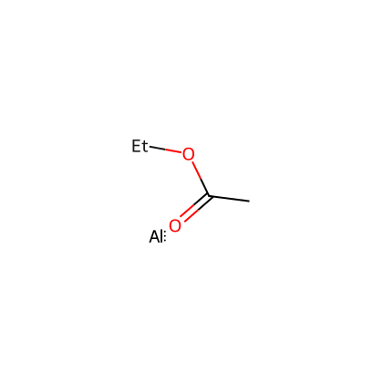 CCOC(C)=O.[Al]